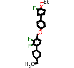 C=CC1CCC(c2ccc(COc3ccc(-c4ccc(OCC)c(F)c4)cc3)c(F)c2F)CC1